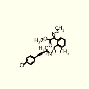 CO/N=C(/C(=O)OC)c1cccc(C)c1CO/N=C(\C)C#Cc1ccc(Cl)cc1